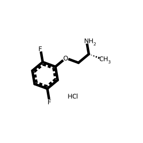 C[C@@H](N)COc1cc(F)ccc1F.Cl